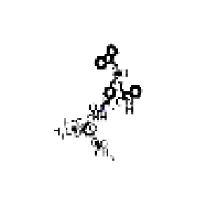 CC(=O)OC[C@@H]1C[C@H](OC(C)=O)[C@@H](C)[C@H](ONC(=O)/C=C/Cc2ccc(CN(CCc3c(C)[nH]c4ccccc34)C(=O)OCC3c4ccccc4-c4ccccc43)cc2)O1